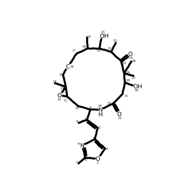 C/C(=C\c1coc(C)n1)C1CC2OC2(C)CCCC(C)C(O)C(C)C(=O)C(C)(C)C(O)CC(=O)N1